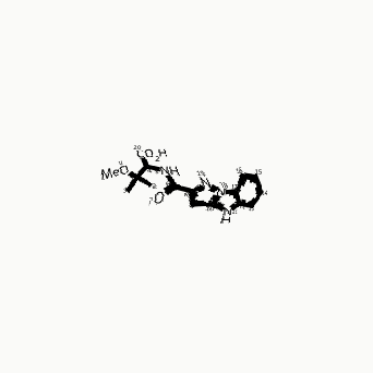 COC(C)(C)C(NC(=O)c1cc2[nH]c3ccccc3n2n1)C(=O)O